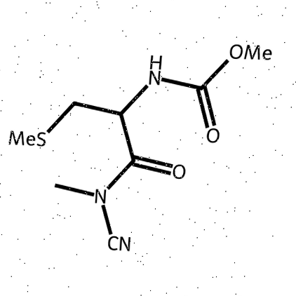 COC(=O)NC(CSC)C(=O)N(C)C#N